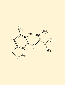 Cc1nc2c(c(N[C@@H](C(N)=O)C(C)C)n1)SCC2